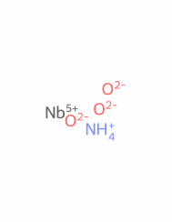 [NH4+].[Nb+5].[O-2].[O-2].[O-2]